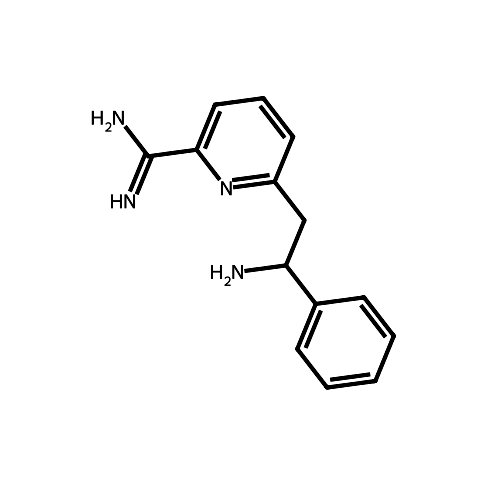 N=C(N)c1cccc(CC(N)c2ccccc2)n1